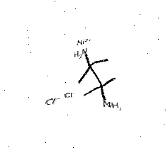 CC(C)(N)C(C)(C)N.[Cl-].[Cl-].[Ni+2]